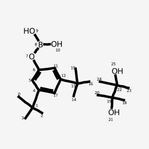 CC(C)(C)c1cc(OB(O)O)cc(C(C)(C)C)c1.CC(C)(O)C(C)(C)O